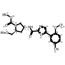 COC[C@@H]1C[C@@H](NC(=O)c2ncc(-c3cc(C#N)ccc3OC(F)(F)F)o2)CN1C(=O)OC(C)(C)C